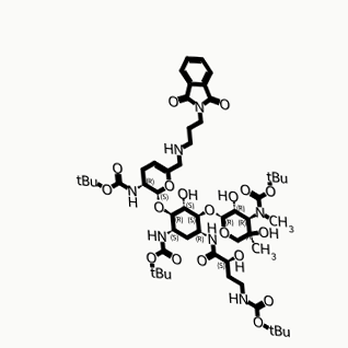 CN(C(=O)OC(C)(C)C)[C@@H]1[C@@H](O)[C@@H](O[C@@H]2[C@@H](O)[C@H](O[C@H]3OC(CNCCCN4C(=O)c5ccccc5C4=O)=CC[C@H]3NC(=O)OC(C)(C)C)[C@@H](NC(=O)OC(C)(C)C)C[C@H]2NC(=O)[C@@H](O)CCNC(=O)OC(C)(C)C)OC[C@]1(C)O